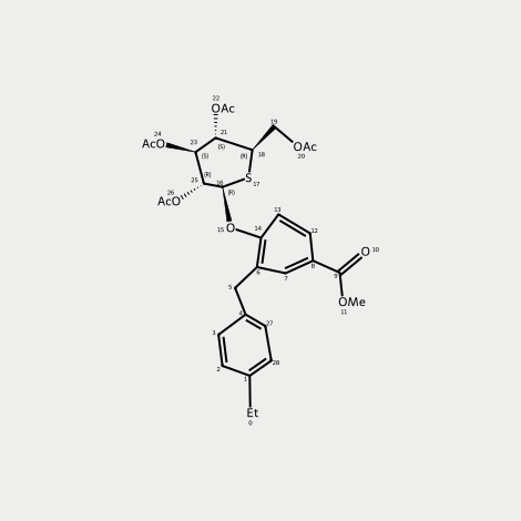 CCc1ccc(Cc2cc(C(=O)OC)ccc2O[C@@H]2S[C@H](COC(C)=O)[C@@H](OC(C)=O)[C@H](OC(C)=O)[C@H]2OC(C)=O)cc1